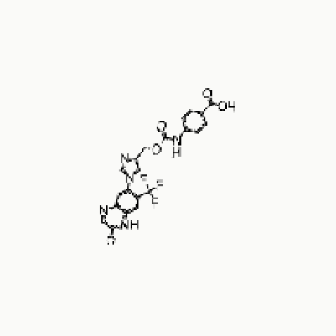 O=C(Nc1ccc(C(=O)O)cc1)OCc1cn(-c2cc3ncc(=O)[nH]c3cc2C(F)(F)F)cn1